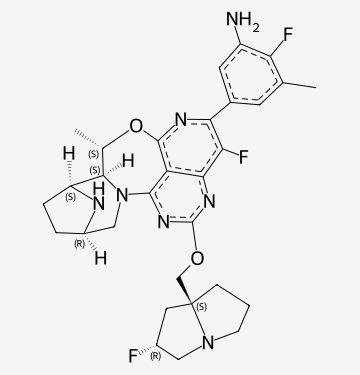 Cc1cc(-c2nc3c4c(nc(OC[C@@]56CCCN5C[C@H](F)C6)nc4c2F)N2C[C@H]4CC[C@H](N4)[C@H]2[C@H](C)O3)cc(N)c1F